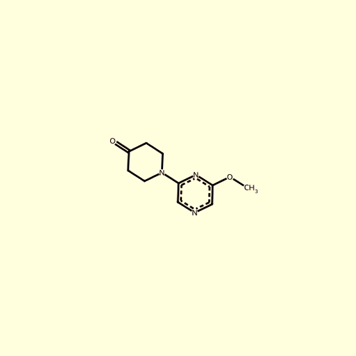 COc1cncc(N2CCC(=O)CC2)n1